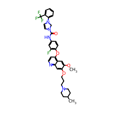 COc1cc2c(Oc3ccc(NC(=O)N4C=CN(c5ccccc5C(F)(F)F)C4)cc3F)ccnc2cc1OCCCN1CCC(C)CC1